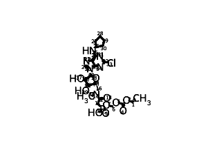 CCOC(=O)OCOP(=O)(O)CC(=O)N(C)C[C@H]1O[C@@H](n2cnc3c(NC4CCCC4)nc(Cl)nc32)[C@H](O)[C@@H]1O